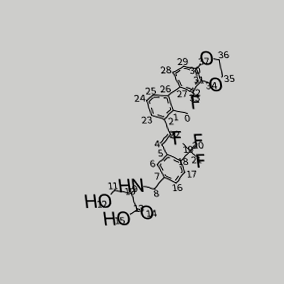 Cc1c(C=Cc2cc(CNC(CO)C(=O)O)ccc2C(F)(F)F)cccc1-c1ccc2c(c1F)OCCO2